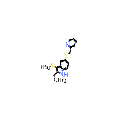 CC(C)(C)Sc1c(CC=O)[nH]c2ccc(SCc3ccccn3)cc12